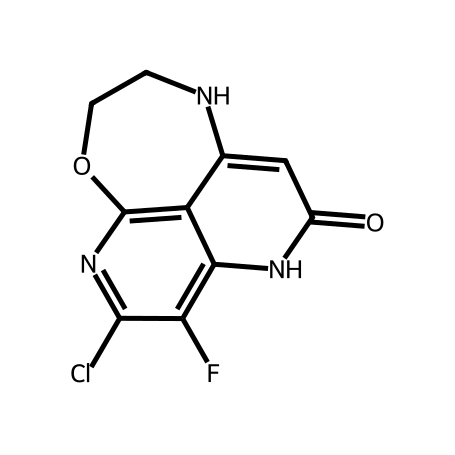 O=c1cc2c3c(nc(Cl)c(F)c3[nH]1)OCCN2